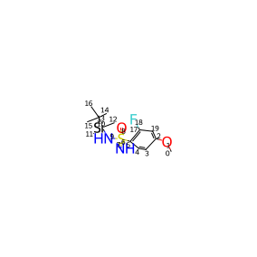 COc1ccc(S(=N)(=O)N[Si](C)(C)C(C)(C)C)c(F)c1